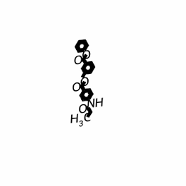 CCC(=O)Nc1ccc(C(=O)OCc2cccc(C(=O)Oc3ccccc3)c2)cc1